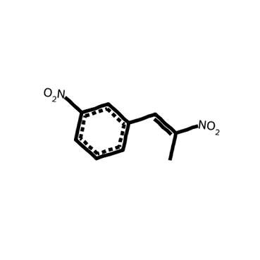 CC(=Cc1cccc([N+](=O)[O-])c1)[N+](=O)[O-]